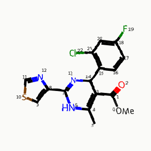 COC(=O)C1=C(C)NC(c2cscn2)=NC1c1ccc(F)cc1Cl